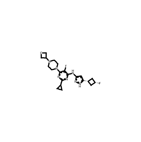 Fc1c(Nc2cc([C@H]3C[C@@H](F)C3)[nH]n2)nc(C2CC2)nc1N1CCN(C2COC2)CC1